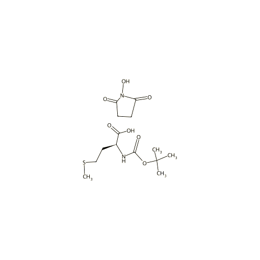 CSCC[C@H](NC(=O)OC(C)(C)C)C(=O)O.O=C1CCC(=O)N1O